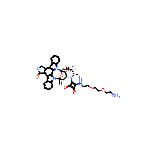 CO[C@@H]1[C@H](N(C)c2c(NCCOCCOCCN)c(=O)c2=O)C[C@H]2O[C@]1(C)n1c3ccccc3c3c4c(c5c6ccccc6n2c5c31)C(=O)NC4